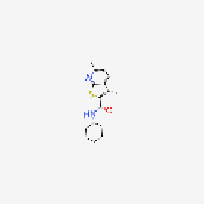 Cc1cc(C)c2c(C)c(C(=O)NC3CCCCC3)sc2n1